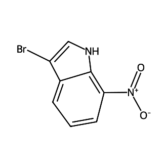 O=[N+]([O-])c1cccc2c(Br)c[nH]c12